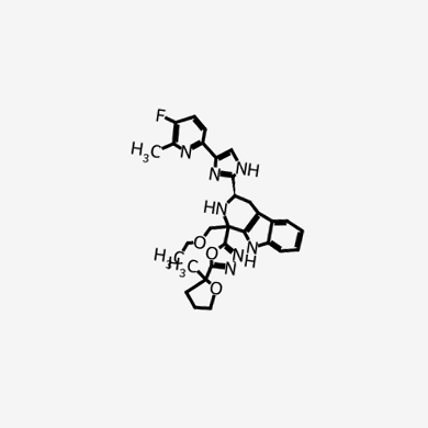 CCOCC1(c2nnc(C3(C)CCCO3)o2)N[C@@H](c2nc(-c3ccc(F)c(C)n3)c[nH]2)Cc2c1[nH]c1ccccc21